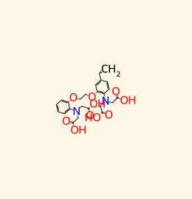 C=Cc1ccc(N(CC(=O)O)CC(=O)O)c(OCCOc2ccccc2N(CC(=O)O)CC(=O)O)c1